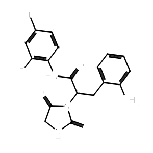 Cc1ccccc1CC(C(=O)Nc1ccc(I)cc1F)N1C(=O)CNC1=O